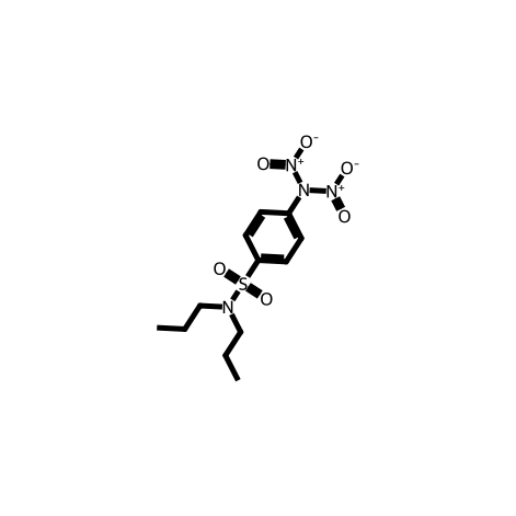 CCCN(CCC)S(=O)(=O)c1ccc(N([N+](=O)[O-])[N+](=O)[O-])cc1